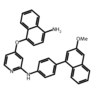 COc1cc(-c2ccc(Nc3cc(Oc4ccc(N)c5ccccc45)ccn3)cc2)c2ccccc2c1